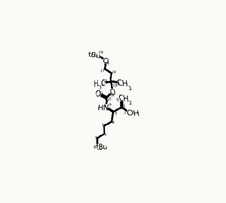 C=C(O)C(CCCCC(C)(C)C)NC(=O)OC(C)(C)CCOC(C)(C)C